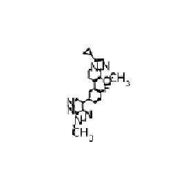 CCn1cnc2c(-c3ccc(F)c(-c4ccn5c(C6CC6)cnc5c4OC)c3)cnnc21